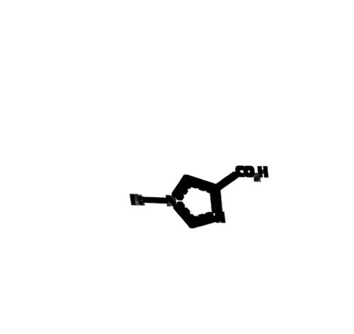 [CH2]Cn1cnc(C(=O)O)c1